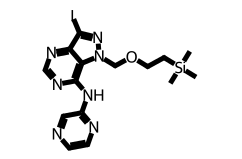 C[Si](C)(C)CCOCn1nc(I)c2ncnc(Nc3cnccn3)c21